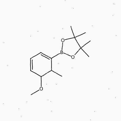 COC1C=CC=C(B2OC(C)(C)C(C)(C)O2)C1C